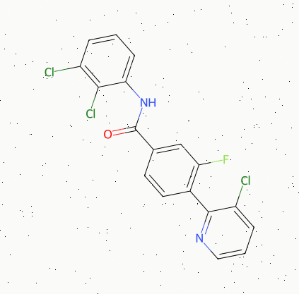 O=C(Nc1cccc(Cl)c1Cl)c1ccc(-c2ncccc2Cl)c(F)c1